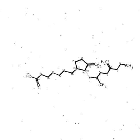 C=C(CCC)CCC(C)C[C@H]1C(=C)CC[C@@H]1CCCCCCC(=O)O